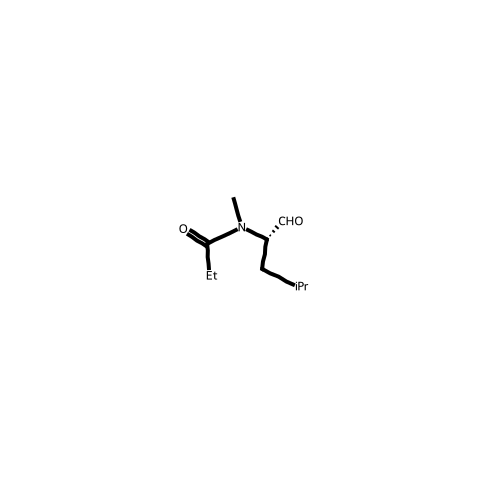 CCC(=O)N(C)[C@H](C=O)CC(C)C